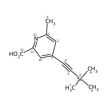 Cc1cc(C#C[Si](C)(C)C)cc(C(=O)O)n1